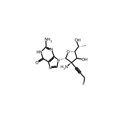 C[C@@H](O)[C@H]1O[C@@H](n2cnc3c(=O)[nH]c(N)nc32)[C@@](N)(C#CCF)C1O